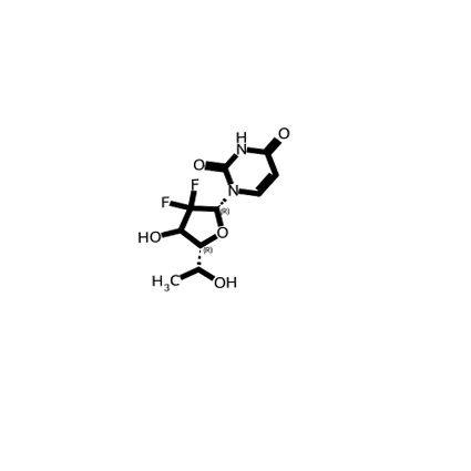 CC(O)[C@H]1O[C@@H](n2ccc(=O)[nH]c2=O)C(F)(F)C1O